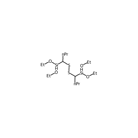 CCCC(SSC(CCC)[SiH](OCC)OCC)[SiH](OCC)OCC